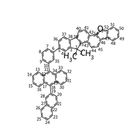 CC1(C)c2cc(-c3cccc(-c4c5ccccc5c(-c5ccc6ccccc6c5)c5ccccc45)c3)ccc2-c2ccc3c(ccc4c5ccccc5oc34)c21